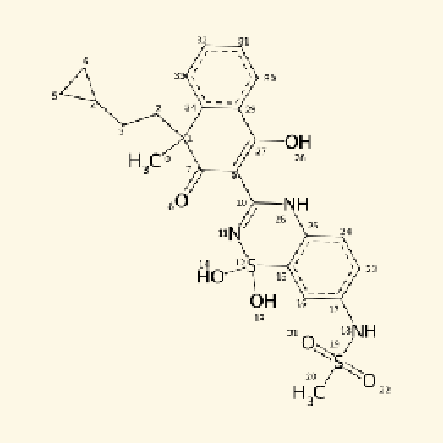 CC1(CCC2CC2)C(=O)C(C2=NS(O)(O)c3cc(NS(C)(=O)=O)ccc3N2)=C(O)c2ccccc21